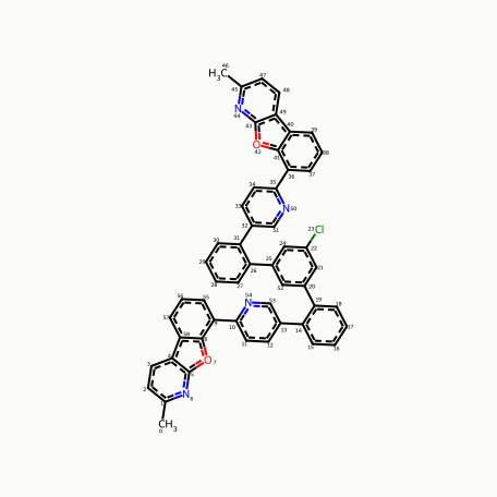 Cc1ccc2c(n1)oc1c(-c3ccc(-c4ccccc4-c4cc(Cl)cc(-c5ccccc5-c5ccc(-c6cccc7c6oc6nc(C)ccc67)nc5)c4)cn3)cccc12